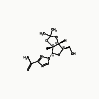 CC1(C)O[C@@H]2[C@H](O1)[C@@H](CO)O[C@@H]2n1cnc(C(N)=O)n1